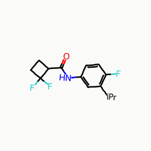 CC(C)c1cc(NC(=O)C2CCC2(F)F)ccc1F